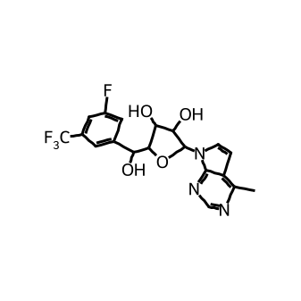 Cc1ncnc2c1ccn2C1OC(C(O)c2cc(F)cc(C(F)(F)F)c2)C(O)C1O